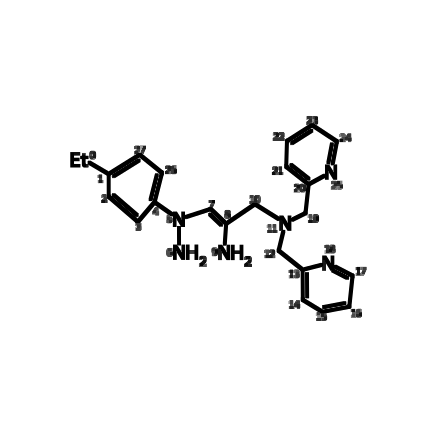 CCc1ccc(N(N)/C=C(\N)CN(Cc2ccccn2)Cc2ccccn2)cc1